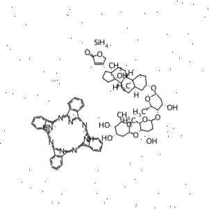 C[C@H]1O[C@@H](O[C@H]2[C@@H](O)C[C@H](O[C@H]3[C@@H](O)C[C@H](O[C@H]4CC[C@@]5(C)[C@H](CC[C@@H]6[C@@H]5CC[C@]5(C)[C@@H](C7=CC(=O)OC7)CC[C@]65O)C4)O[C@@H]3C)O[C@@H]2C)C[C@H](O)[C@@H]1O.[SiH4].c1ccc2c(c1)-c1nc-2nc2[nH]c(nc3nc(nc4[nH]c(n1)c1ccccc41)-c1ccccc1-3)c1ccccc21